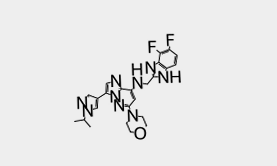 CC(C)n1cc(-c2cnc3c(NCc4nc5c(F)c(F)ccc5[nH]4)cc(N4CCOCC4)nn23)cn1